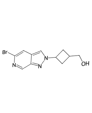 OCC1CC(n2cc3cc(Br)ncc3n2)C1